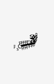 CS(=O)(=O)c1cscc1S(=O)(=O)C(F)(F)C(F)(F)C(F)(F)C(F)(F)C(F)(F)C(F)(F)C(F)(F)C(F)(F)F